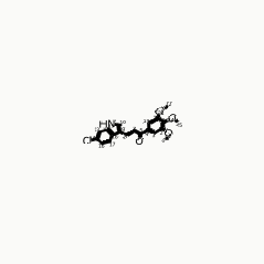 COc1cc(C(=O)/C=C/c2c[nH]c3cc(Cl)ccc23)cc(OC)c1OC